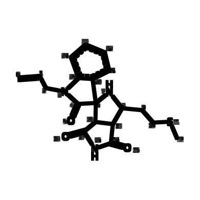 C=CCN1C(=O)C2(NC(CCSC)C3C(=O)NC(=O)C32)c2ccccc21